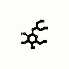 OCC(CO)O[C@@H]1OC(CO)[C@@H](O)C(O)[C@@H]1O